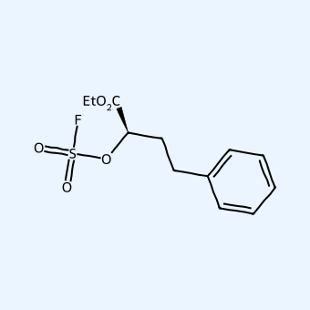 CCOC(=O)[C@@H](CCc1ccccc1)OS(=O)(=O)F